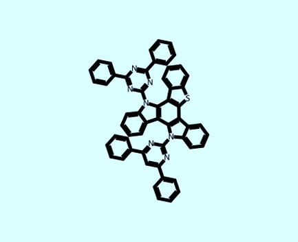 c1ccc(-c2cc(-c3ccccc3)nc(-n3c4ccccc4c4c5sc6ccccc6c5c5c(c6ccccc6n5-c5nc(-c6ccccc6)nc(-c6ccccc6)n5)c43)n2)cc1